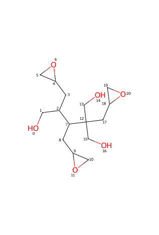 OCC(CC1CO1)C(CC1CO1)C(CO)(CO)CC1CO1